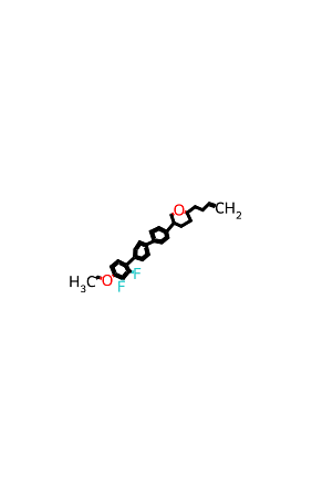 C=CCCC1CCC(c2ccc(-c3ccc(-c4ccc(OCC)c(F)c4F)cc3)cc2)CO1